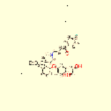 CCOC(=O)C1(c2ccccc2Oc2ccccc2)CCN(CCCC(=O)c2ccc(F)cc2)CC1.OCCO